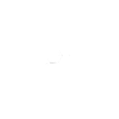 CC[C@H](O)C[C@H](O)C=O